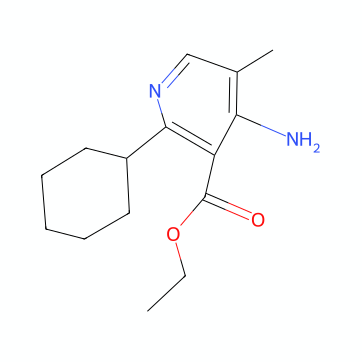 CCOC(=O)c1c(C2CCCCC2)ncc(C)c1N